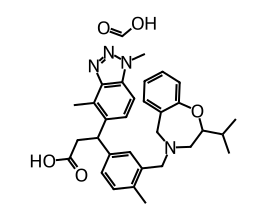 Cc1ccc(C(CC(=O)O)c2ccc3c(nnn3C)c2C)cc1CN1Cc2ccccc2OC(C(C)C)C1.O=CO